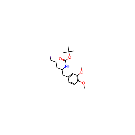 COc1ccc(CC(CCCI)NC(=O)OC(C)(C)C)cc1OC